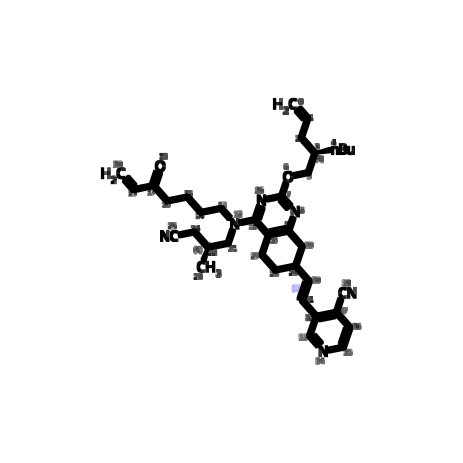 C=CC[C@@H](CCCC)COc1nc2c(c(N(CCCCC(=O)C=C)C[C@@H](C)CC#N)n1)CCC(/C=C/c1cnccc1C#N)C2